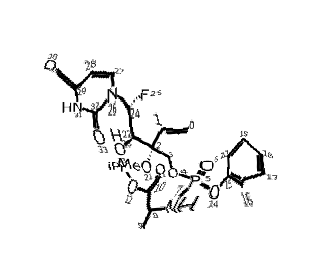 C=C[C@](COP(=O)(NC(C)C(=O)OC(C)C)Oc1ccccc1)(OC)[C@@H](O)[C@@H](F)n1ccc(=O)[nH]c1=O